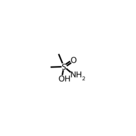 CS(C)(N)(=O)O